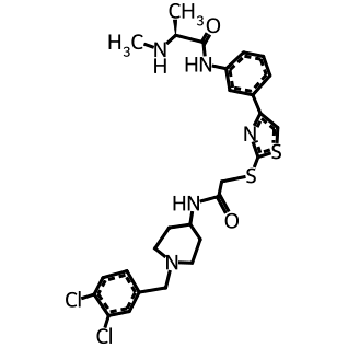 CN[C@@H](C)C(=O)Nc1cccc(-c2csc(SCC(=O)NC3CCN(Cc4ccc(Cl)c(Cl)c4)CC3)n2)c1